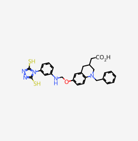 O=C(O)CC1Cc2cc(OCNc3cccc(-n4c(S)nnc4S)c3)ccc2N(Cc2ccccc2)C1